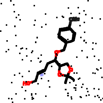 COc1ccc(COC(C/C=C/CO)C2COC(C)(C)O2)cc1